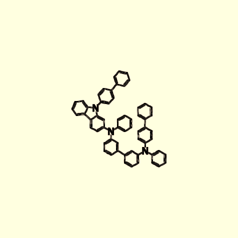 c1ccc(-c2ccc(N(c3ccccc3)c3cccc(-c4cccc(N(c5ccccc5)c5ccc6c7ccccc7n(-c7ccc(-c8ccccc8)cc7)c6c5)c4)c3)cc2)cc1